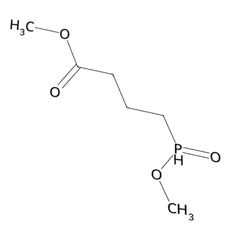 COC(=O)CCC[PH](=O)OC